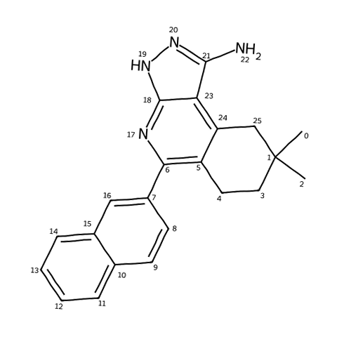 CC1(C)CCc2c(-c3ccc4ccccc4c3)nc3[nH]nc(N)c3c2C1